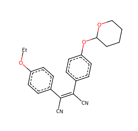 CCOc1ccc(C(C#N)=C(C#N)c2ccc(OC3CCCCO3)cc2)cc1